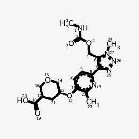 CNC(=O)OCc1c(-c2ccc(O[C@@H]3COCC(C(=O)O)C3)c(C)n2)nnn1C